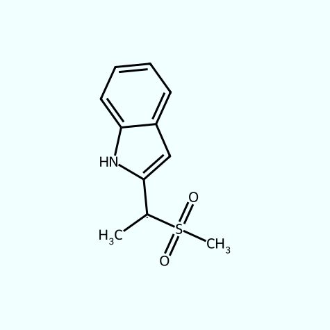 C[C](c1cc2ccccc2[nH]1)S(C)(=O)=O